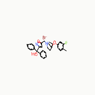 Cc1ccc(OC2C[N+]3(Cc4cc(C(O)(c5ccccc5)c5ccccc5)no4)CCC2CC3)cc1F.[Br-]